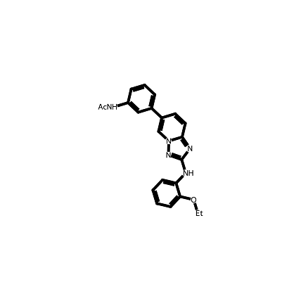 CCOc1ccccc1Nc1nc2ccc(-c3cccc(NC(C)=O)c3)cn2n1